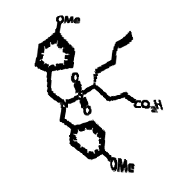 C=CCC[C@H](CCC(=O)O)S(=O)(=O)N(Cc1ccc(OC)cc1)Cc1ccc(OC)cc1